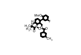 COc1ccc(F)cc1-c1ccc2c(c1COC(=O)c1cccc(C)c1)N(C)C(=O)C(C)(C)N2